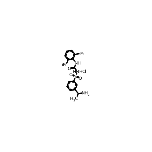 CC(C)c1cccc(C(C)C)c1NC(=O)NS(=O)(=O)c1cccc(C(C)N)c1.Cl